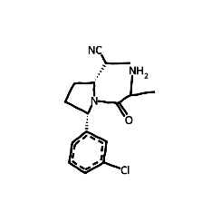 CC(N)C(=O)N1[C@@H](C(C)C#N)CC[C@H]1c1cccc(Cl)c1